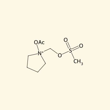 CC(=O)O[N+]1(COS(C)(=O)=O)CCCC1